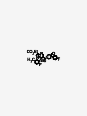 CCOC(=O)c1cnn2c(Nc3cc(C)ccc3F)c(C(=O)N3CCC4(CC3)COc3cc(F)ccc34)cnc12